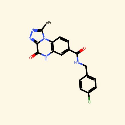 CCCc1nnc2c(=O)[nH]c3cc(C(=O)NCc4ccc(Cl)cc4)ccc3n12